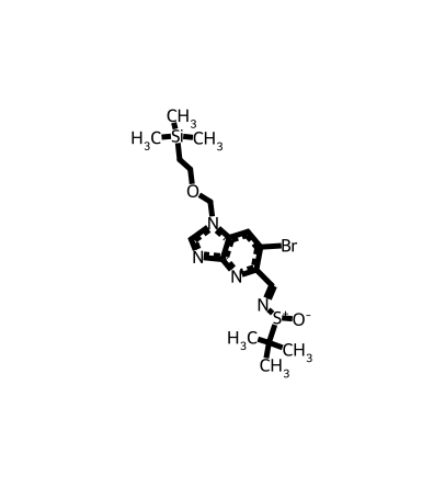 CC(C)(C)[S+]([O-])N=Cc1nc2ncn(COCC[Si](C)(C)C)c2cc1Br